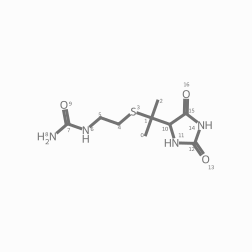 CC(C)(SCCNC(N)=O)C1NC(=O)NC1=O